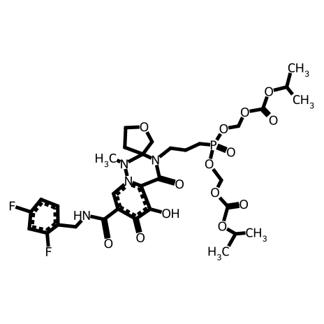 CC(C)OC(=O)OCOP(=O)(CCCN1C(=O)c2c(O)c(=O)c(C(=O)NCc3ccc(F)cc3F)cn2N(C)C12CCOC2)OCOC(=O)OC(C)C